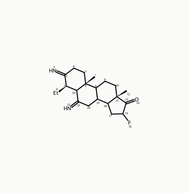 CC[C@H]1C(=N)CC[C@]2(C)C3CC[C@]4(C)C(=O)C(F)CC4C3CC(=N)C12